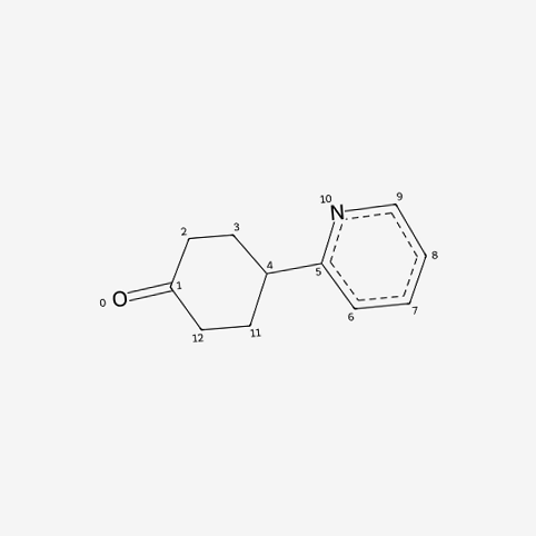 O=C1CCC(c2ccccn2)CC1